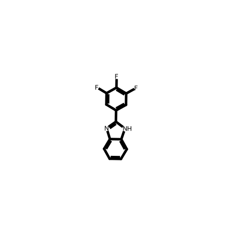 Fc1cc(-c2nc3ccccc3[nH]2)cc(F)c1F